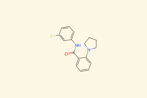 O=C(Nc1cccc(F)c1)c1ccccc1N1CCCC1